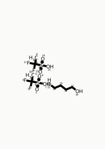 CC(F)(F)S(=O)(=O)O.CC(F)(F)S(=O)(=O)O.OCCCCO